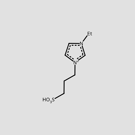 CCn1cc[n+](CCCS(=O)(=O)O)c1